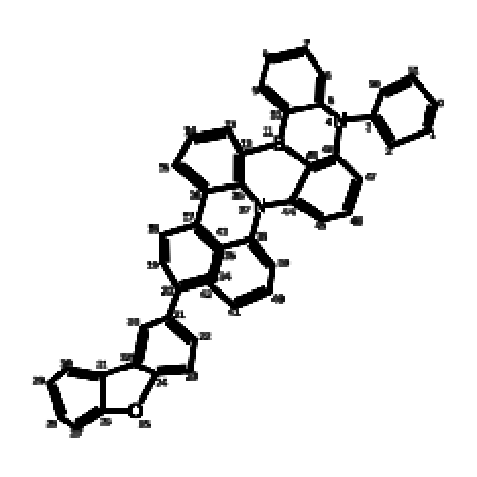 c1ccc(N2c3ccccc3B3c4cccc(-c5ccc(-c6ccc7oc8ccccc8c7c6)cc5)c4N(c4ccccc4)c4cccc2c43)cc1